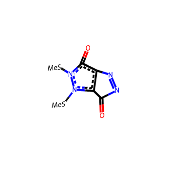 CSn1c2c(c(=O)n1SC)N=NC2=O